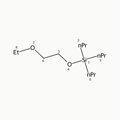 CCC[Si](CCC)(CCC)OCCOCC